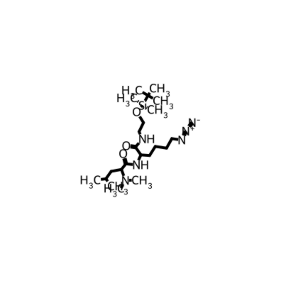 CC(C)CC(C(=O)NC(CCCCN=[N+]=[N-])C(=O)NCCO[Si](C)(C)C(C)(C)C)N(C)C